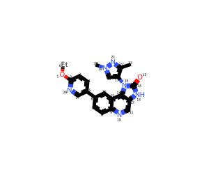 CCOc1ccc(-c2ccc3ncc4[nH]c(=O)n(-c5cn(C)nc5C)c4c3c2)cn1